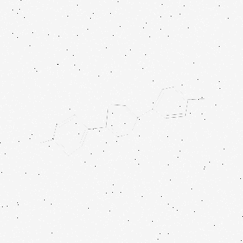 Fc1ccc(C2=CSC(c3ccc(F)cc3)=CS2)cc1